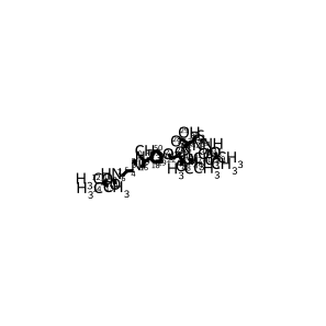 C[n+]1cn(CCCNC(=O)OC(C)(C)C)cc1-c1ccc(OCC(ON=C(C(=O)O)c2csc(NC(=O)OC(C)(C)C)n2)C(=O)OC(C)(C)C)cc1